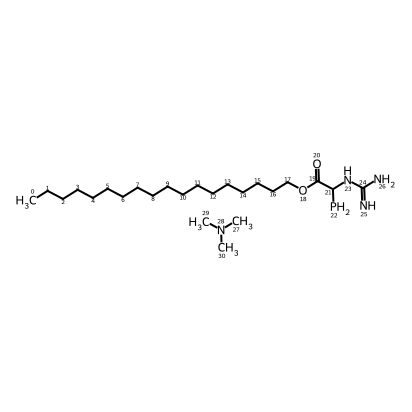 CCCCCCCCCCCCCCCCCCOC(=O)C(P)NC(=N)N.CN(C)C